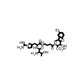 CCc1ccc2oc(C(O)C(NC(=O)CCCNC(=O)C(CC3=CCN(C(=N)N)C3)NC(=O)C(N)C(C)O)C(=O)O)c(C)c2c1